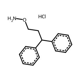 Cl.NOCCC(c1ccccc1)c1ccccc1